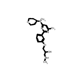 CNCC(O)COc1cccc(-c2nc(C)cc(N(C)C3CCOCC3)n2)c1